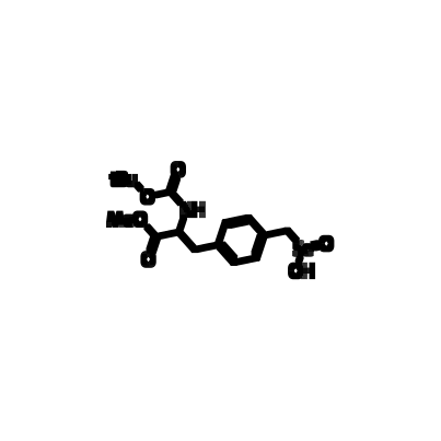 COC(=O)C(Cc1ccc(C[Se](=O)O)cc1)NC(=O)OC(C)(C)C